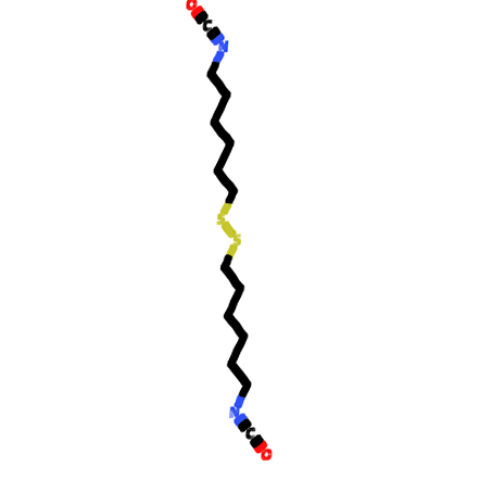 O=C=NCCCCCCSSCCCCCCN=C=O